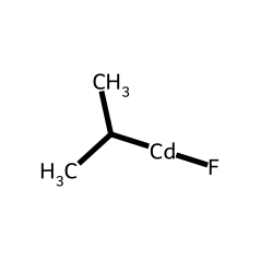 C[CH](C)[Cd][F]